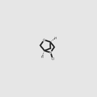 ClN1C[C@H]2C[C@@H]1CO2